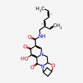 C=C/C(=C\C=C/C)CNC(=O)c1cn2c(c(O)c1=O)C(=O)N1C3CC(C3)OC1C2